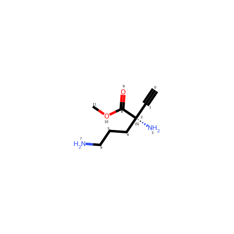 C#C[C@@](N)(CCCN)C(=O)OC